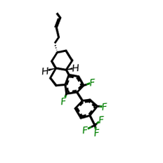 C/C=C/CC[C@@H]1CC[C@@H]2c3cc(F)c(-c4ccc(C(F)(F)F)c(F)c4)c(F)c3CC[C@@H]2C1